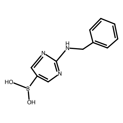 OB(O)c1cnc(NCc2ccccc2)nc1